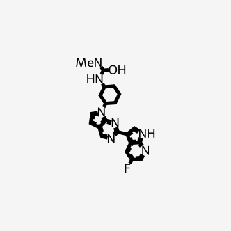 CNC(O)NC1CCCC(n2ccc3cnc(-c4c[nH]c5ncc(F)cc45)nc32)C1